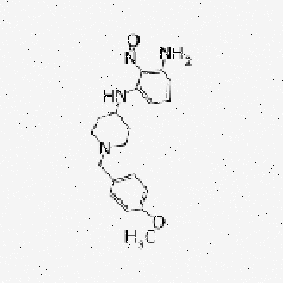 COc1ccc(CN2CCC(Nc3cccc(N)c3N=O)CC2)cc1